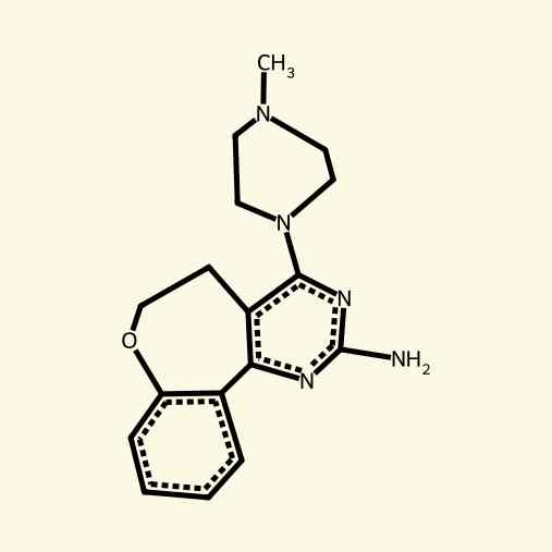 CN1CCN(c2nc(N)nc3c2CCOc2ccccc2-3)CC1